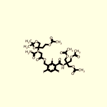 CC(=O)OCCC1(N(CC(=O)OCc2c(I)cc(I)c(C(=O)NC(COC(C)=O)(COC(C)=O)COC(C)=O)c2I)C(N)=O)COC(C)(C)O1